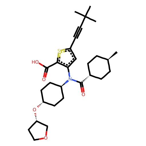 CC(C)(C)C#Cc1cc(N(C(=O)[C@H]2CC[C@H](C)CC2)[C@H]2CC[C@H](O[C@H]3CCOC3)CC2)c(C(=O)O)s1